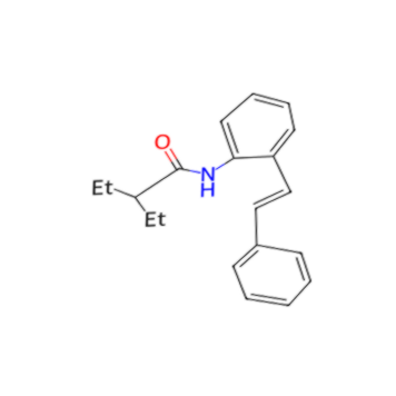 CCC(CC)C(=O)Nc1ccccc1/C=C/c1ccccc1